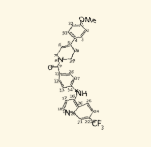 COc1ccc(C2=CCN(C(=O)c3ccc(Nc4ccnc5cc(C(F)(F)F)ccc45)cc3)CC2)cc1